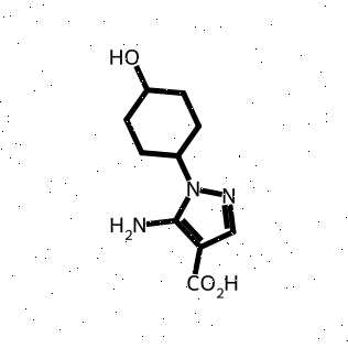 Nc1c(C(=O)O)cnn1C1CCC(O)CC1